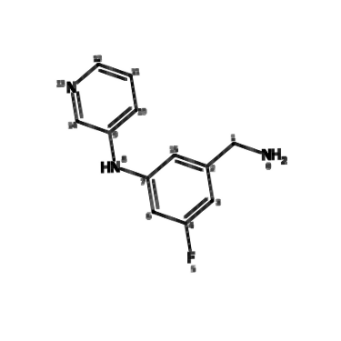 NCc1cc(F)cc(Nc2cccnc2)c1